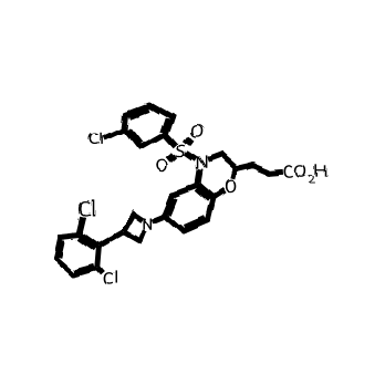 O=C(O)CCC1CN(S(=O)(=O)c2cccc(Cl)c2)c2cc(N3CC(c4c(Cl)cccc4Cl)C3)ccc2O1